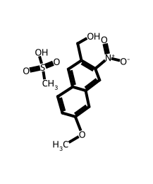 COc1ccc2cc(CO)c([N+](=O)[O-])cc2c1.CS(=O)(=O)O